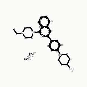 CCN1CCN(c2nc(-c3ccc(N4CCC(O)CC4)cc3)cc3ccccc23)CC1.Cl.Cl.Cl